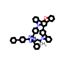 C/C=C\C=C(/C)n1c2ccccc2c2cc(-c3cc4c5ccccc5oc4c4c5ccccc5n(-c5ccc(-c6nc(-c7ccccc7)nc(-c7ccc(-c8ccccc8)cc7)n6)cc5)c34)ccc21